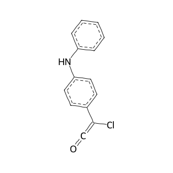 O=C=C(Cl)c1ccc(Nc2ccccc2)cc1